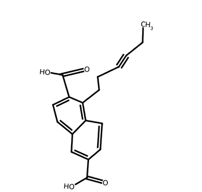 CCC#CCCc1c(C(=O)O)ccc2cc(C(=O)O)ccc12